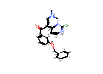 CN(C)C=C(C(=O)c1cccc(OCc2ccccc2)c1)c1ccnc(Cl)n1